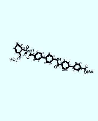 COC(=O)c1ccc(-c2ccc(C(=O)Nc3ccc(-c4ccc(C(=O)NS(=O)(=O)C5C=CC=CC5CC(=O)O)cc4)cc3)cc2)cc1